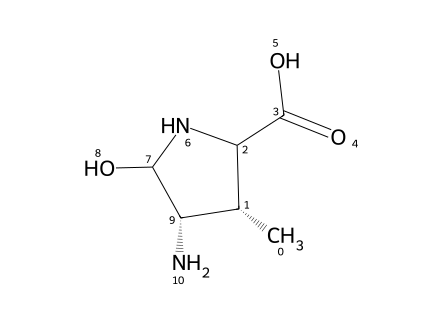 C[C@H]1C(C(=O)O)NC(O)[C@H]1N